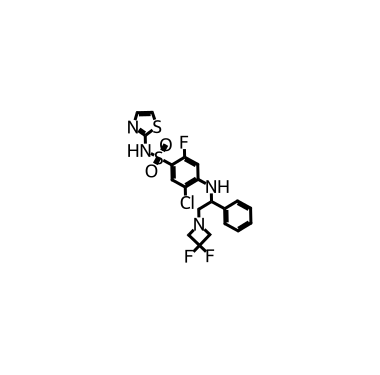 O=S(=O)(Nc1nccs1)c1cc(Cl)c(NC(CN2CC(F)(F)C2)c2ccccc2)cc1F